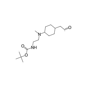 CN(CCNC(=O)OC(C)(C)C)C1CCC(C[C]=O)CC1